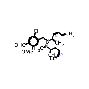 C=C/C=C\C(=C)N(Cc1cc(OC)c(C=O)cc1Cl)N(C)C(C)C/C=C\CC